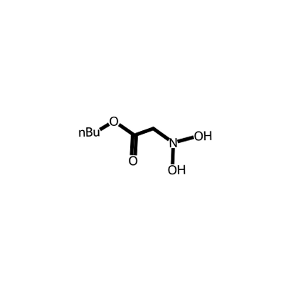 CCCCOC(=O)CN(O)O